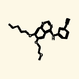 C#Cc1cccc(Nc2ncnc3cc(OCCCCC)c(OCCOC)cc23)c1